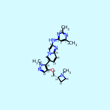 Cc1cc(Nc2cn3cc(-c4c(OC[C@H]5CCN5C)cnn4C)ccc3n2)nc(C)n1